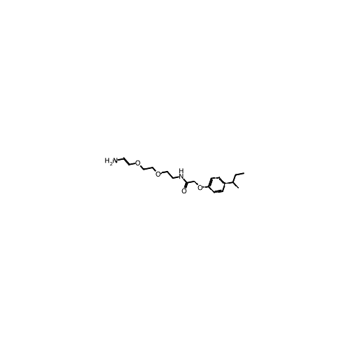 CCC(C)c1ccc(OCC(=O)NCCOCCOCCN)cc1